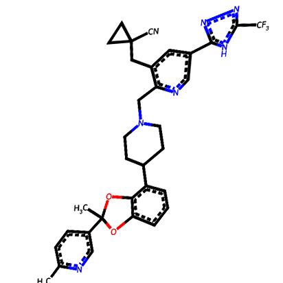 Cc1ccc(C2(C)Oc3cccc(C4CCN(Cc5ncc(-c6nnc(C(F)(F)F)[nH]6)cc5CC5(C#N)CC5)CC4)c3O2)cn1